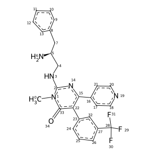 Cn1c(NC[C@@H](N)Cc2ccccc2)nc(-c2ccncc2)c(-c2cccc(C(F)(F)F)c2)c1=O